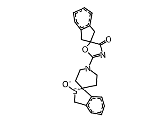 O=C1N=C(N2CCC3(CC2)c2ccccc2C[S+]3[O-])OC12Cc1ccccc1C2